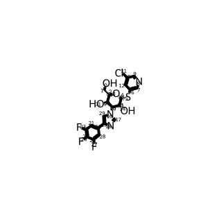 OC[C@H]1O[C@H](Sc2cncc(Cl)c2)[C@H](O)[C@@H](n2cnc(-c3cc(F)c(F)c(F)c3)c2)[C@H]1O